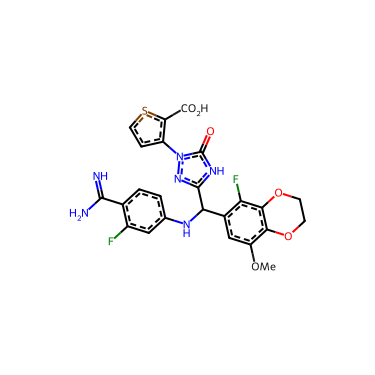 COc1cc(C(Nc2ccc(C(=N)N)c(F)c2)c2nn(-c3ccsc3C(=O)O)c(=O)[nH]2)c(F)c2c1OCCO2